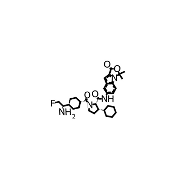 CC1(C)OC(=O)c2cc3cc(NC(=O)[C@@H]4[C@H](C5CCCCC5)CCN4C(=O)[C@H]4CC[C@H]([C@H](N)CF)CC4)ccc3n21